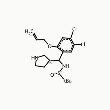 C=CCOc1cc(Cl)c(Cl)cc1C(N[S+]([O-])C(C)(C)C)[C@H]1CCNC1